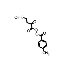 Cc1ccc(C(=O)OOC(=O)C(=O)CCC=O)cc1